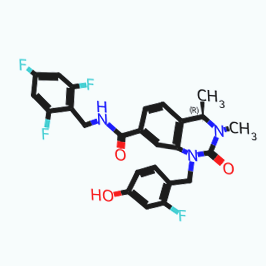 C[C@@H]1c2ccc(C(=O)NCc3c(F)cc(F)cc3F)cc2N(Cc2ccc(O)cc2F)C(=O)N1C